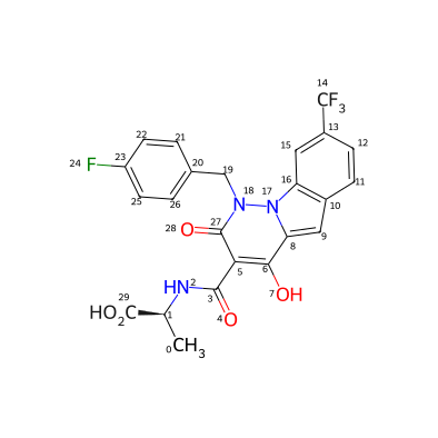 C[C@H](NC(=O)c1c(O)c2cc3ccc(C(F)(F)F)cc3n2n(Cc2ccc(F)cc2)c1=O)C(=O)O